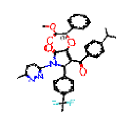 COC(=O)[C@H](OC1=C(C(=O)c2ccc(C(C)C)cc2)C(c2ccc(C(C)(F)F)cc2)N(c2ccc(C)nn2)C1=O)c1ccccc1